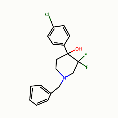 OC1(c2ccc(Cl)cc2)CCN(Cc2ccccc2)CC1(F)F